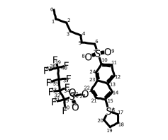 CCCCCCCS(=O)(=O)c1ccc2cc([S+]3CCCC3)ccc2c1.O=S(=O)([O-])C(F)(F)C(F)(F)C(F)(F)C(F)(F)F